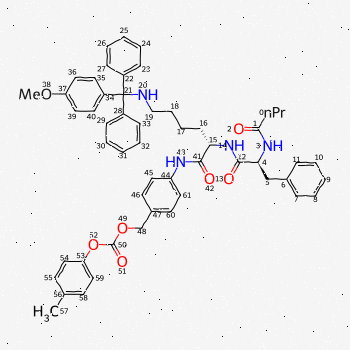 CCCC(=O)N[C@@H](Cc1ccccc1)C(=O)N[C@@H](CCCCNC(c1ccccc1)(c1ccccc1)c1ccc(OC)cc1)C(=O)Nc1ccc(COC(=O)Oc2ccc(C)cc2)cc1